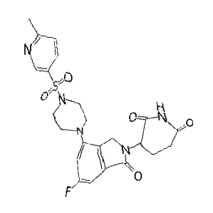 Cc1ccc(S(=O)(=O)N2CCN(c3cc(F)cc4c3CN(C3CCC(=O)NC3=O)C4=O)CC2)cn1